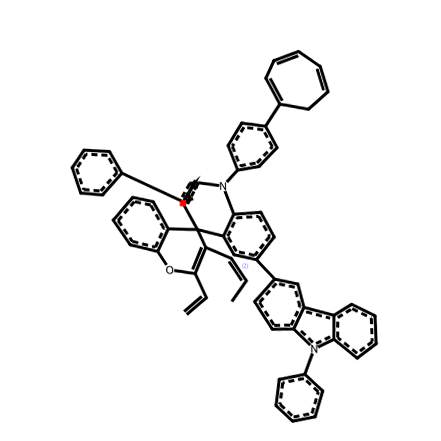 C=CC1=C(/C=C\C)C2(c3ccccc3O1)c1cc(-c3ccccc3)ccc1N(c1ccc(C3=CC=CC=CC3)cc1)c1ccc(-c3ccc4c(c3)c3ccccc3n4-c3ccccc3)cc12